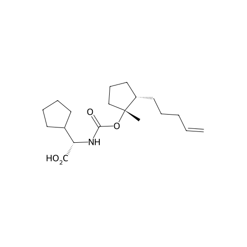 C=CCCC[C@H]1CCC[C@@]1(C)OC(=O)N[C@H](C(=O)O)C1CCCC1